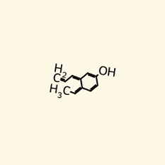 C=C/C=c1/cc(O)cc/c1=C/C